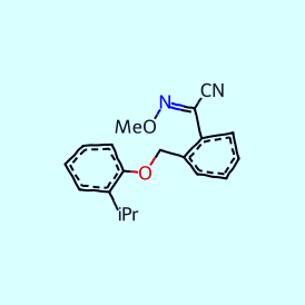 CO/N=C(/C#N)c1ccccc1COc1ccccc1C(C)C